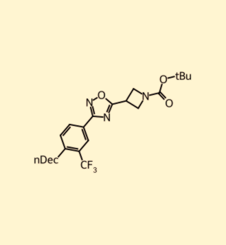 CCCCCCCCCCc1ccc(-c2noc(C3CN(C(=O)OC(C)(C)C)C3)n2)cc1C(F)(F)F